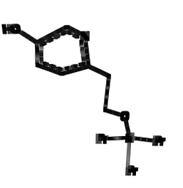 CC(C)[Si](OCCc1ccc(O)cn1)(C(C)C)C(C)C